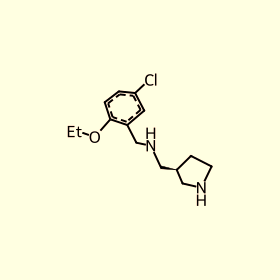 CCOc1ccc(Cl)cc1CNC[C@H]1CCNC1